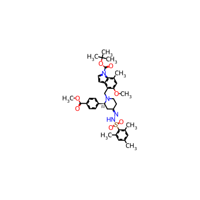 COC(=O)c1ccc([C@@H]2CC(=NNS(=O)(=O)c3c(C)cc(C)cc3C)CCN2Cc2c(OC)cc(C)c3c2ccn3C(=O)OC(C)(C)C)cc1